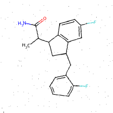 CC(C(N)=O)C1CC(Cc2ccccc2F)c2cc(F)ccc21